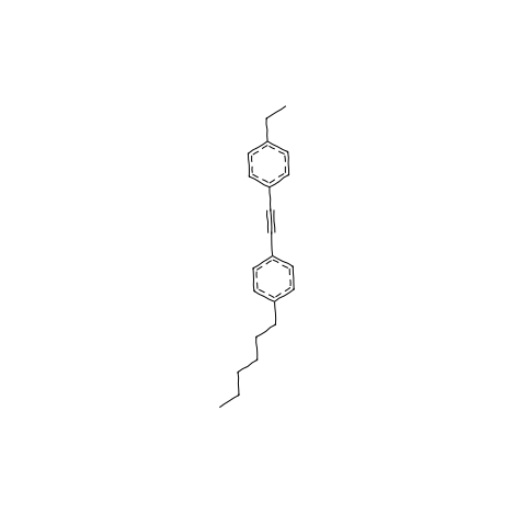 CCCCCCc1ccc(C#Cc2ccc(CC)cc2)cc1